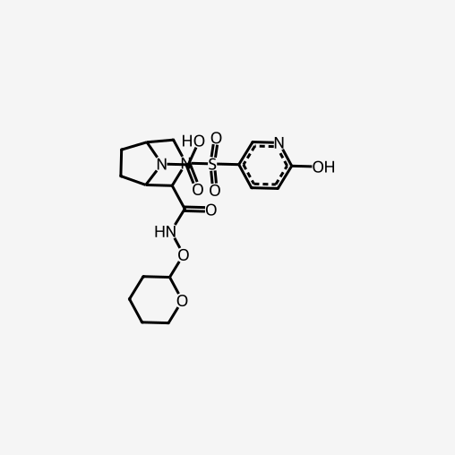 O=C(NOC1CCCCO1)C1C2CCC(CN1S(=O)(=O)c1ccc(O)nc1)N2C(=O)O